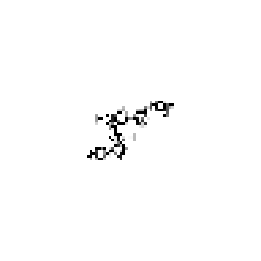 CN1CCN(c2nccc3[nH]c(-c4n[nH]c5cnc(-c6cncc(CN7CCC(F)(F)C7)c6)cc45)nc23)CC1